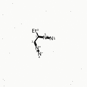 CCC(C=[N+]=[N-])=[N+]=[N-]